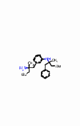 CC(C)(C)CC(C)(N)Cc1cccc(NC(C)(Cc2ccccc2)CC(C)(C)C)c1